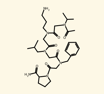 CC(=O)N(CC(=O)N(CCCN)CC(=O)N(CC(=O)N(CC(=O)N1CCCC1C(N)=O)Cc1ccccc1)CC(C)C)C(C)C